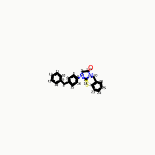 O=C1CN(c2ccc(Cc3ccccc3)cc2)C(=S)N1Cc1ccccc1